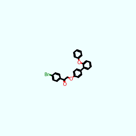 O=C(COc1ccc(-c2ccccc2Oc2ccccc2)cc1)c1ccc(Br)cc1